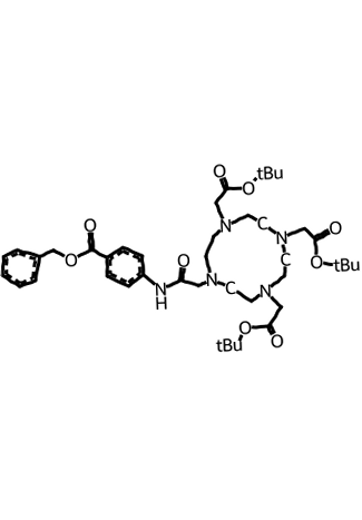 CC(C)(C)OC(=O)CN1CCN(CC(=O)Nc2ccc(C(=O)OCc3ccccc3)cc2)CCN(CC(=O)OC(C)(C)C)CCN(CC(=O)OC(C)(C)C)CC1